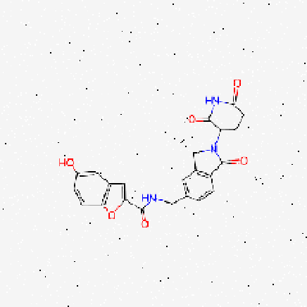 O=C1CCC(N2Cc3cc(CNC(=O)c4cc5cc(O)ccc5o4)ccc3C2=O)C(=O)N1